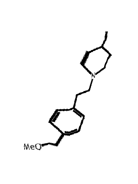 COCc1ccc(CCN2CCC(C)CC2)cc1